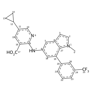 Cn1ccc2cc(Nc3ncc(C4CC4)cc3C(=O)O)cc(-c3cccc(C(F)(F)F)c3)c21